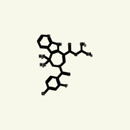 CC(C)OC(=O)C1=CN(C(=O)c2ccc(Cl)cc2F)CC(C)(C)c2c1[nH]c1ncccc21